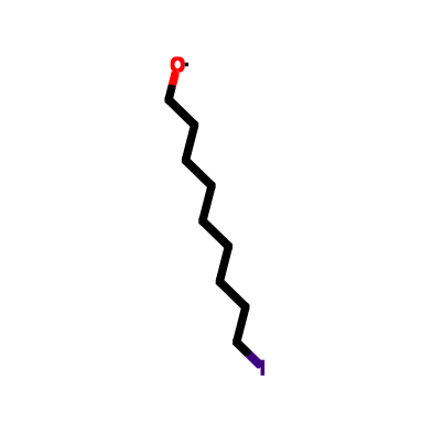 [O]CCCCCCCCCI